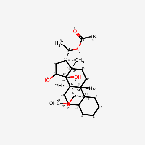 CC(OC(=O)C(C)(C)C)[C@H]1CC(O)[C@@]2(O)[C@@H]3CCC4CCCC[C@]4(COC=O)[C@H]3CC[C@]12C